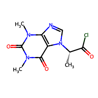 C[C@@H](C(=O)Cl)n1cnc2c1c(=O)n(C)c(=O)n2C